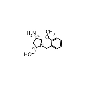 COc1ccccc1CN1C[C@@H](N)C[C@H]1CO